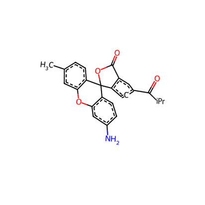 Cc1ccc2c(c1)Oc1cc(N)ccc1C21OC(=O)c2cc(C(=O)C(C)C)ccc21